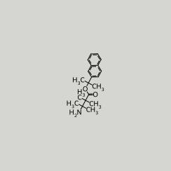 CC(C)(OC(=O)C(C)(C)C(C)(C)N)c1ccc2ccccc2c1